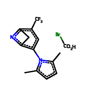 Cc1ccc(C)n1-c1cc(C(F)(F)F)c2nc1C2.O=C(O)Br